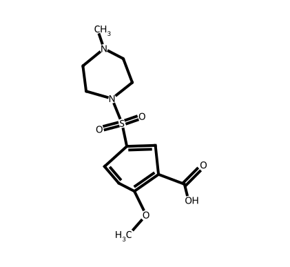 COc1ccc(S(=O)(=O)N2CCN(C)CC2)cc1C(=O)O